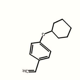 [CH]=Cc1ccc(OC2CCCCC2)cc1